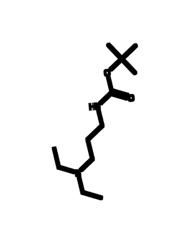 CCN(CC)CCCNC(=O)OC(C)(C)C